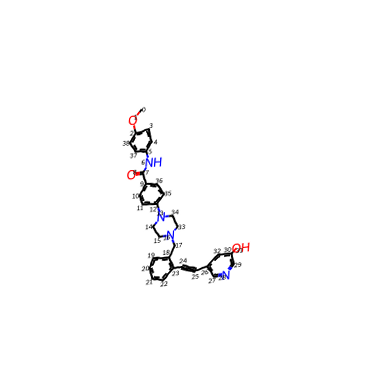 COc1ccc(NC(=O)c2ccc(N3CCN(Cc4ccccc4C#Cc4cncc(O)c4)CC3)cc2)cc1